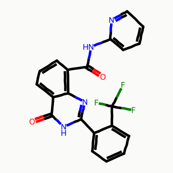 O=C(Nc1ccccn1)c1cccc2c(=O)[nH]c(-c3ccccc3C(F)(F)F)nc12